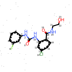 O=C(Nc1cccc(F)c1)Nc1cc(Cl)ccc1C(=O)NCCO